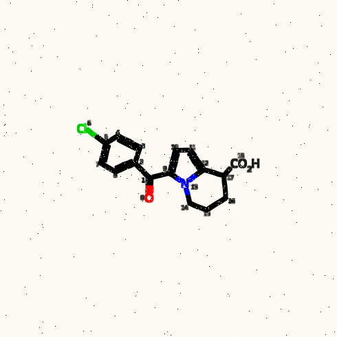 O=C(c1ccc(Cl)cc1)c1ccc2n1CCCC2C(=O)O